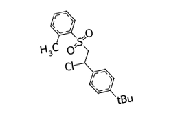 Cc1ccccc1S(=O)(=O)CC(Cl)c1ccc(C(C)(C)C)cc1